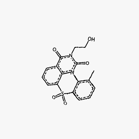 Cc1cccc2c1-n1c(=O)n(CCO)c(=O)c3cccc(c31)S2(=O)=O